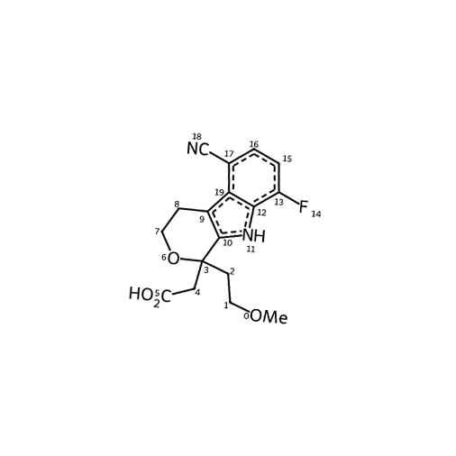 COCCC1(CC(=O)O)OCCc2c1[nH]c1c(F)ccc(C#N)c21